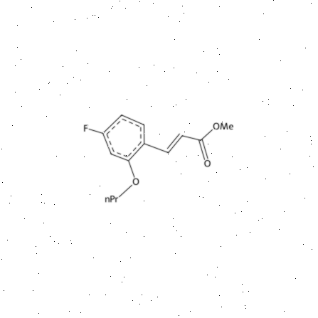 CCCOc1cc(F)ccc1C=CC(=O)OC